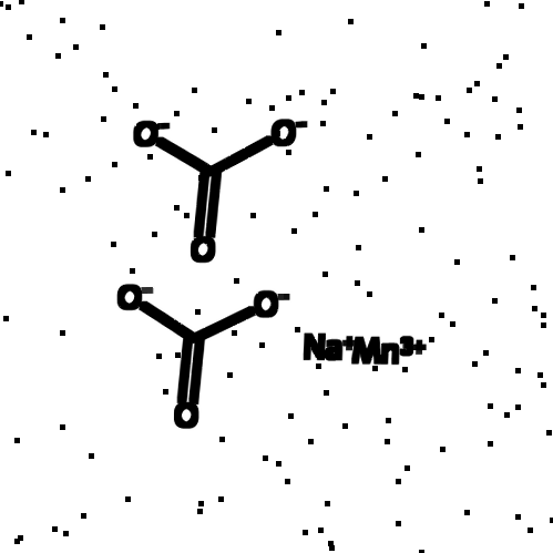 O=C([O-])[O-].O=C([O-])[O-].[Mn+3].[Na+]